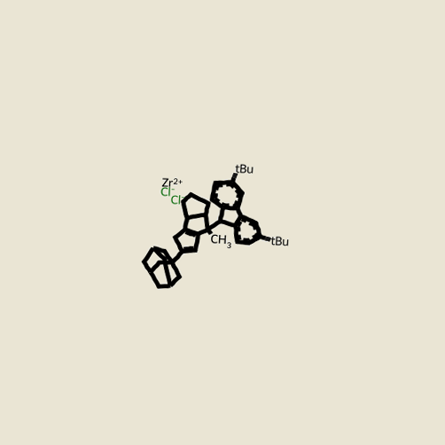 CC(C)(C)c1ccc2c(c1)-c1cc(C(C)(C)C)ccc1C2C1(C)C2=C(CC(C34CC5CC(CC(C5)C3)C4)=C2)C2CCCC21.[Cl-].[Cl-].[Zr+2]